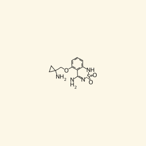 NC1=NS(=O)(=O)Nc2cccc(OCC3(N)CC3)c21